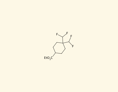 CCOC(=O)C1CCC(C(F)F)(C(F)F)CC1